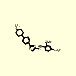 COc1cc(C(=O)O)ccc1NSc1coc(-c2ccc(C3CCC(OC(F)(F)F)CC3)cc2)n1